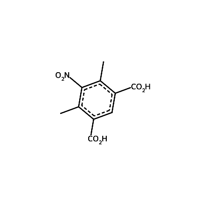 Cc1c(C(=O)O)cc(C(=O)O)c(C)c1[N+](=O)[O-]